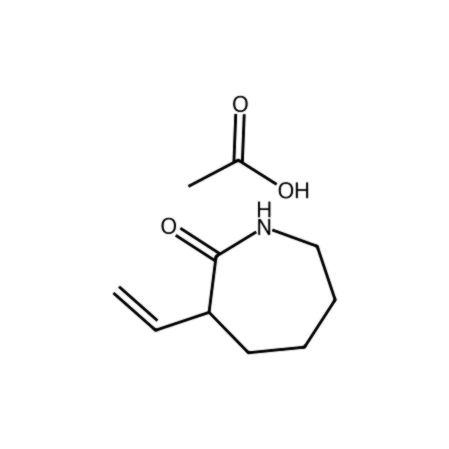 C=CC1CCCCNC1=O.CC(=O)O